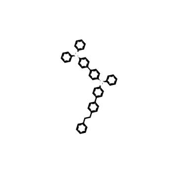 c1ccc(CCc2ccc(-c3ccc(N(c4ccccc4)c4ccc(-c5ccc(N(c6ccccc6)c6ccccc6)cc5)cc4)cc3)cc2)cc1